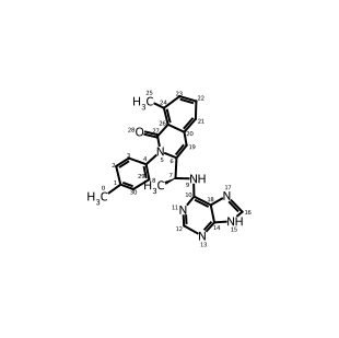 Cc1ccc(-n2c([C@H](C)Nc3ncnc4[nH]cnc34)cc3cccc(C)c3c2=O)cc1